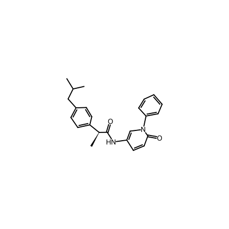 CC(C)Cc1ccc([C@H](C)C(=O)Nc2ccc(=O)n(-c3ccccc3)c2)cc1